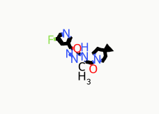 CC(Nc1nnc(-c2cncc(F)c2)o1)C(=O)N1CCC2(CC1)CC2